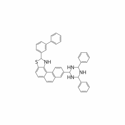 c1ccc(-c2cccc(C3Nc4c(ccc5ccc6cc(C7NC(c8ccccc8)NC(c8ccccc8)N7)ccc6c45)S3)c2)cc1